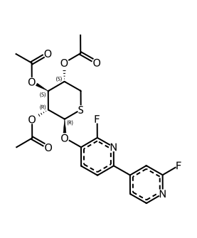 CC(=O)O[C@@H]1[C@@H](OC(C)=O)[C@H](OC(C)=O)CS[C@H]1Oc1ccc(-c2ccnc(F)c2)nc1F